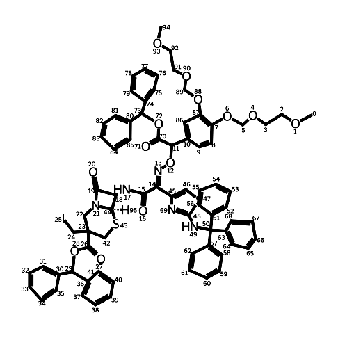 COCCOCOc1ccc(C(ON=C(C(=O)NC2C(=O)N3CC(CI)(C(=O)OC(c4ccccc4)c4ccccc4)CS[C@H]23)c2csc(NC(c3ccccc3)(c3ccccc3)c3ccccc3)n2)C(=O)OC(c2ccccc2)c2ccccc2)cc1OCOCCOC